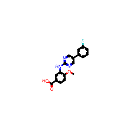 COc1ccc(C(=O)O)cc1Nc1ncc(-c2cccc(F)c2)cn1